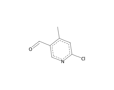 Cc1cc(Cl)ncc1C=O